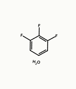 Fc1cccc(F)c1F.O